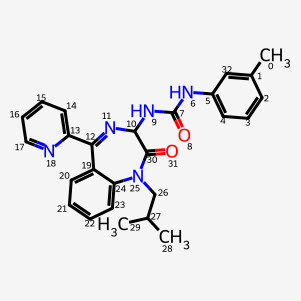 Cc1cccc(NC(=O)NC2N=C(c3ccccn3)c3ccccc3N(CC(C)C)C2=O)c1